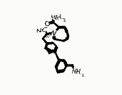 N#C[C@H](Cc1ccc(-c2cccc(CN)c2)cc1)N1CCCCC1C(N)=O